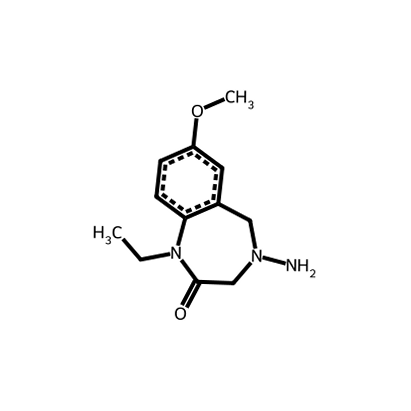 CCN1C(=O)CN(N)Cc2cc(OC)ccc21